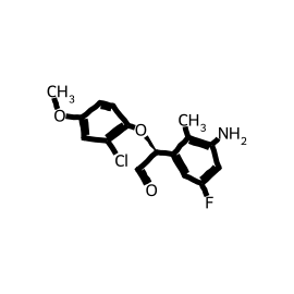 COc1ccc(O[C@H](C=O)c2cc(F)cc(N)c2C)c(Cl)c1